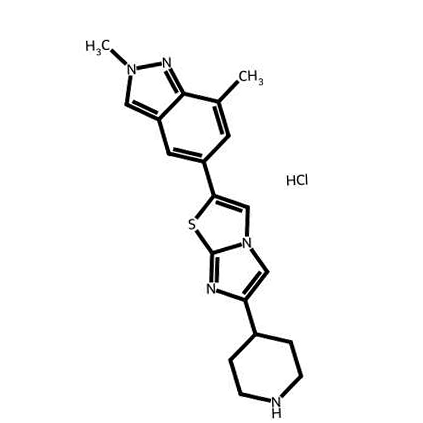 Cc1cc(-c2cn3cc(C4CCNCC4)nc3s2)cc2cn(C)nc12.Cl